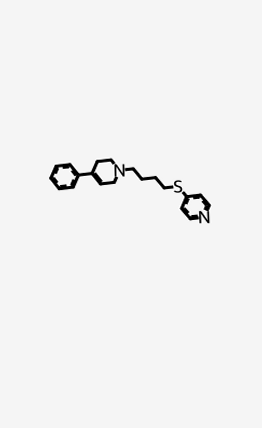 C1=C(c2ccccc2)CCN(CCCCSc2ccncc2)C1